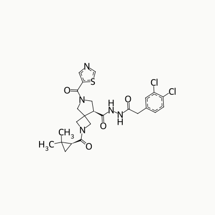 CC1(C)C[C@@H]1C(=O)N1CC2(CN(C(=O)c3cncs3)C[C@H]2C(=O)NNC(=O)Cc2ccc(Cl)c(Cl)c2)C1